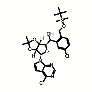 CC1(C)O[C@@H]2[C@H](O1)[C@@H](C(O)c1cc(Cl)ccc1CO[Si](C)(C)C(C)(C)C)O[C@H]2n1ccc2c(Cl)ncnc21